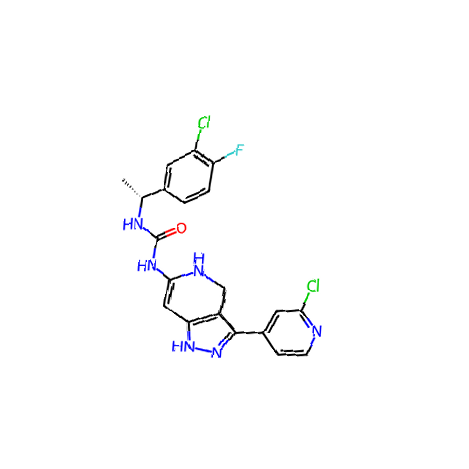 C[C@@H](NC(=O)NC1=Cc2[nH]nc(-c3ccnc(Cl)c3)c2CN1)c1ccc(F)c(Cl)c1